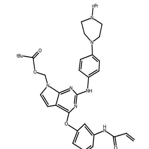 C=CC(=O)Nc1cccc(Oc2nc(Nc3ccc(N4CCN(CCC)CC4)cc3)nc3c2ccn3COC(=O)C(C)(C)C)c1